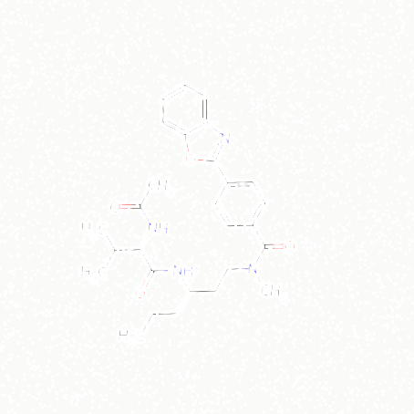 CCC[C@@H](CCN(C)C(=O)c1ccc(-c2nc3ccccc3o2)cc1)NC(=O)[C@@H](NC(C)=O)C(C)C